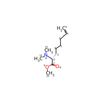 C=CCCCC[C@H](C(=O)OC)N(C)C